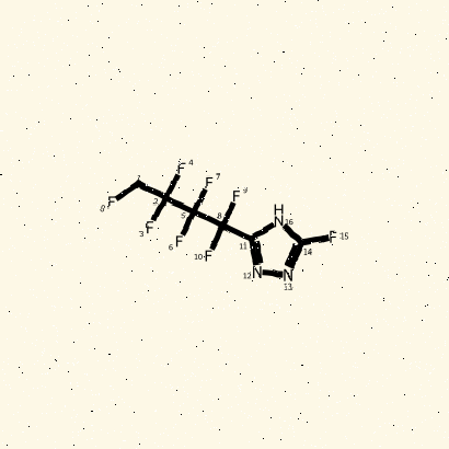 FCC(F)(F)C(F)(F)C(F)(F)c1nnc(F)[nH]1